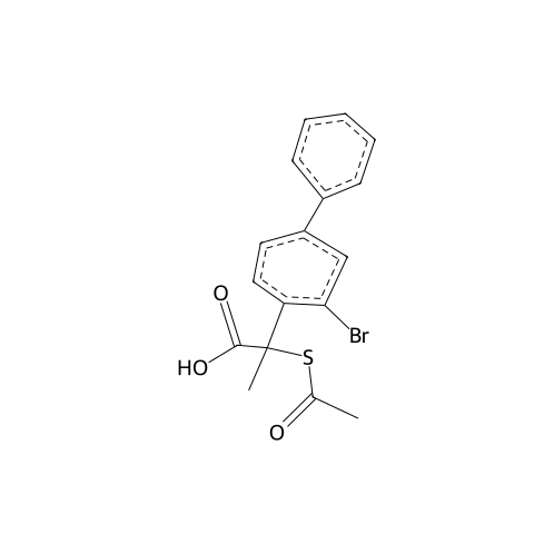 CC(=O)SC(C)(C(=O)O)c1ccc(-c2ccccc2)cc1Br